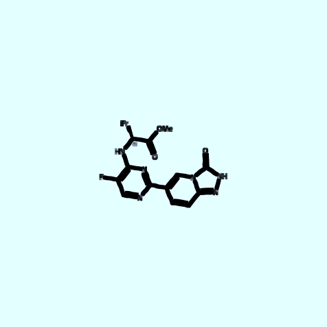 COC(=O)[C@@H](Nc1nc(-c2ccc3n[nH]c(=O)n3c2)ncc1F)C(C)C